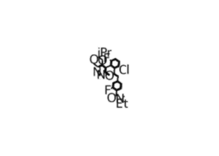 CCN(C)C(=O)c1ccc(/C=C/c2c(Cl)ccc(F)c2-c2c(OC(=O)C(C)C)c(C)nn(C)c2=O)cc1F